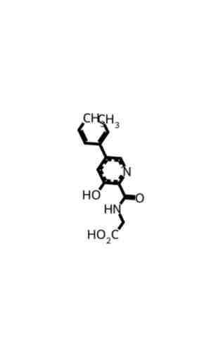 C/C=C\C(=C/C)c1cnc(C(=O)NCC(=O)O)c(O)c1